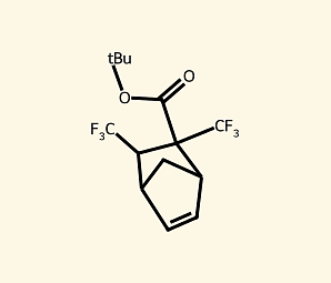 CC(C)(C)OC(=O)C1(C(F)(F)F)C2C=CC(C2)C1C(F)(F)F